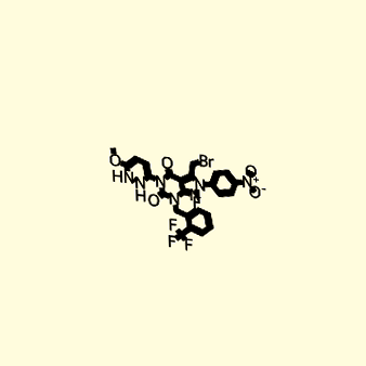 COC1=CC=C(n2c(=O)c3c(CBr)n(-c4ccc([N+](=O)[O-])cc4)nc3n(Cc3c(F)cccc3C(F)(F)F)c2=O)NN1